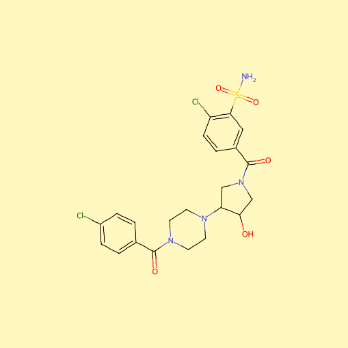 NS(=O)(=O)c1cc(C(=O)N2CC(O)C(N3CCN(C(=O)c4ccc(Cl)cc4)CC3)C2)ccc1Cl